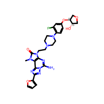 Cn1c(=O)n(CCN2CCN(c3ccc(O[C@H]4COC[C@@H]4O)cc3F)CC2)c2nc(N)n3nc(-c4ccco4)nc3c21